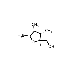 B[C@@H]1O[C@](F)(CO)[C@@H](C)[C@H]1C